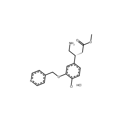 COC(=O)C[C@@H](CN)c1ccc(Cl)c(OCc2ccncc2)c1.Cl